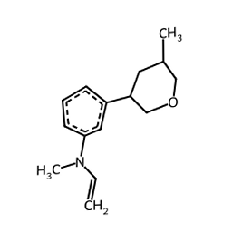 C=CN(C)c1cccc(C2COCC(C)C2)c1